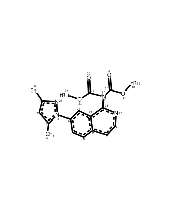 CCc1cc(C(F)(F)F)n(-c2ccc3ccnc(N(C(=O)OC(C)(C)C)C(=O)OC(C)(C)C)c3c2)n1